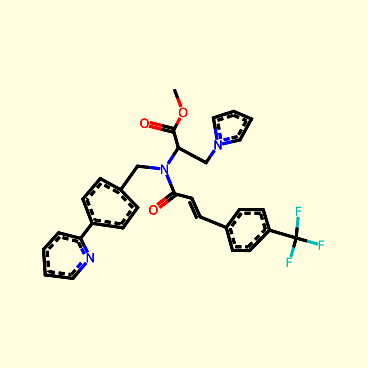 COC(=O)C(Cn1cccc1)N(Cc1ccc(-c2ccccn2)cc1)C(=O)C=Cc1ccc(C(F)(F)F)cc1